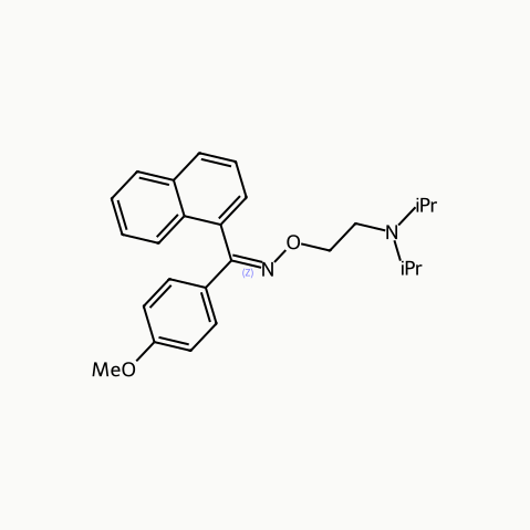 COc1ccc(/C(=N/OCCN(C(C)C)C(C)C)c2cccc3ccccc23)cc1